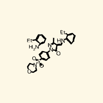 CCc1ccccc1N.CCc1ccccc1NC=C1C(=O)N(c2ccc(S(=O)(=O)N3CCOCC3)cc2)N=C1C